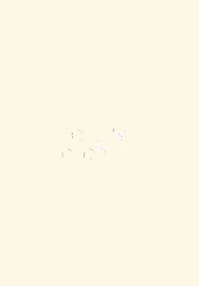 Cc1ccc(Oc2cccc(Oc3ccc(N4C(=O)C5C6C(=O)N(C)C(=O)C6C5C4=O)cc3)c2)cc1